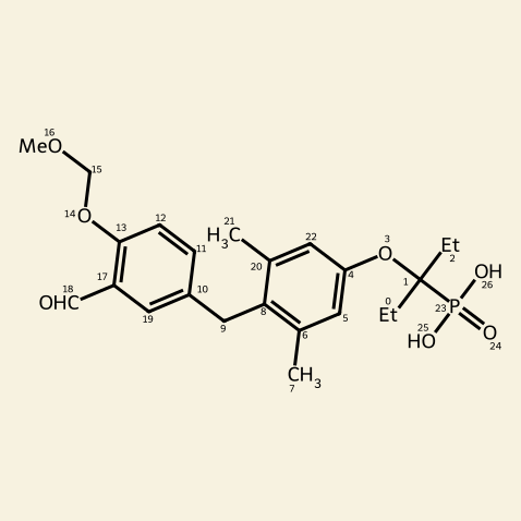 CCC(CC)(Oc1cc(C)c(Cc2ccc(OCOC)c(C=O)c2)c(C)c1)P(=O)(O)O